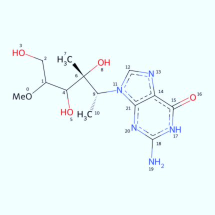 COC(CO)C(O)[C@](C)(O)[C@@H](C)n1cnc2c(=O)[nH]c(N)nc21